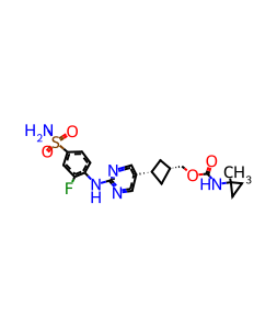 CC1(NC(=O)OC[C@H]2C[C@@H](c3cnc(Nc4ccc(S(N)(=O)=O)cc4F)nc3)C2)CC1